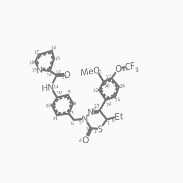 CCC1SC(=O)N(Cc2ccc(NC(=O)c3ccccn3)cc2)N=C1c1ccc(OC(F)(F)F)c(OC)c1